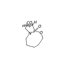 CCCCCCCP1(=O)OCCCCCN1CC(=O)O